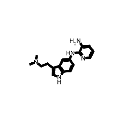 CN(C)CCc1c[nH]c2ccc(Nc3ncccc3N)cc12